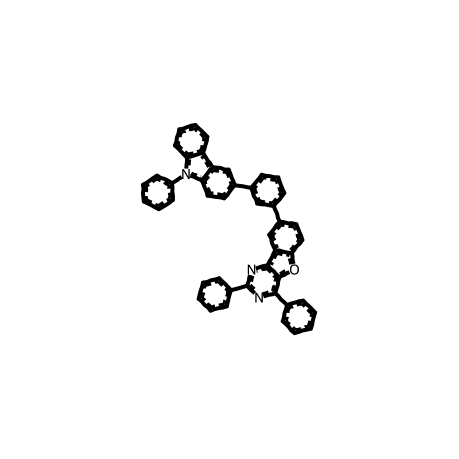 c1ccc(-c2nc(-c3ccccc3)c3oc4ccc(-c5cccc(-c6ccc7c(c6)c6ccccc6n7-c6ccccc6)c5)cc4c3n2)cc1